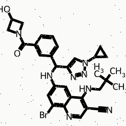 CC(C)(C)CNc1c(C#N)cnc2c(Br)cc(NC(c3cccc(C(=O)N4CC(O)C4)c3)c3cn(C4CC4)nn3)cc12